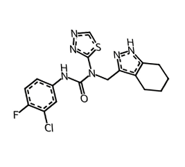 O=C(Nc1ccc(F)c(Cl)c1)N(Cc1n[nH]c2c1CCCC2)c1nncs1